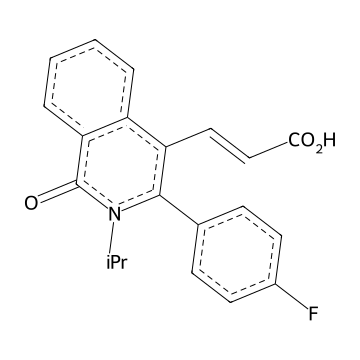 CC(C)n1c(-c2ccc(F)cc2)c(/C=C/C(=O)O)c2ccccc2c1=O